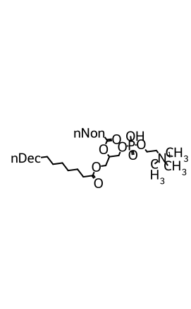 CCCCCCCCCCCCCCCCC(=O)OCC(COP(=O)(O)OCC[N+](C)(C)C)OC(=O)CCCCCCCCC